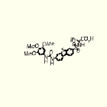 COc1cc(NC(=O)Nc2ccc3c(c2)sc2cc(S(=O)(=O)N[C@H](C(=O)O)C(C)C)ccc23)cc(OC)c1OC